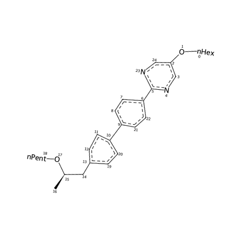 CCCCCCOc1cnc(-c2ccc(-c3ccc(C[C@@H](C)OCCCCC)cc3)cc2)nc1